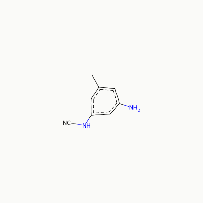 Cc1cc(N)cc(NC#N)c1